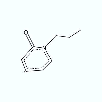 CCCn1cc[c]cc1=O